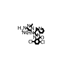 Cc1nc(N)c(C#N)c(N[C@H](c2nc3c(Cl)ccc(Cl)c3c(=O)n2-c2cccnc2)C2CC2)n1